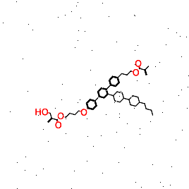 C=C(C)C(=O)OCCCc1ccc(-c2ccc(-c3ccc(OCCCCOC(=O)C(=C)CO)cc3)cc2C2CCC(C3CCC(CCCC)CC3)CC2)cc1